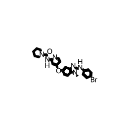 Cn1c(Nc2ccc(Br)cc2)nc2cc(Oc3ccnc(NC(=O)N4CCCCC4)c3)ccc21